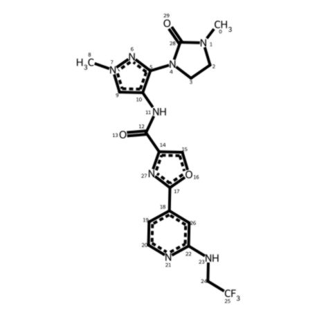 CN1CCN(c2nn(C)cc2NC(=O)c2coc(-c3ccnc(NCC(F)(F)F)c3)n2)C1=O